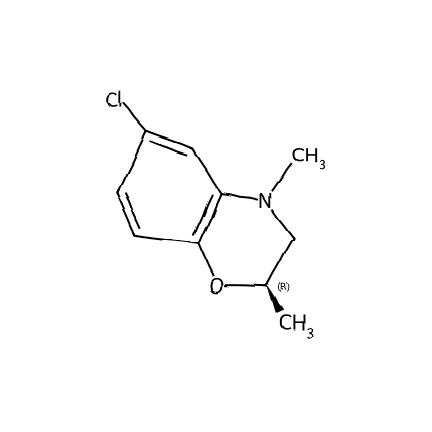 C[C@@H]1CN(C)c2cc(Cl)ccc2O1